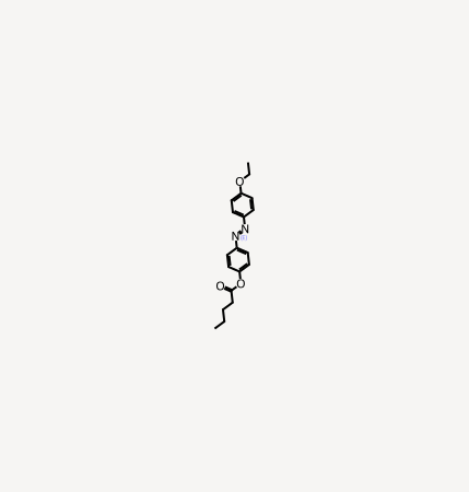 CCCCC(=O)Oc1ccc(/N=N/c2ccc(OCC)cc2)cc1